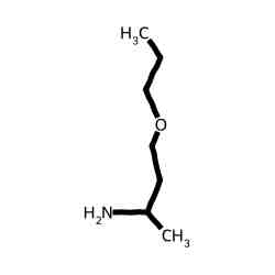 CCCOCCC(C)N